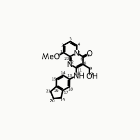 COc1cccn2c(=O)c(CO)c(Nc3ccc4c(c3)CCC4)nc12